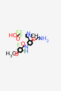 COc1cc(F)c(C(=O)Nc2ccc(OCCN)c(-c3ccnn3C)c2)c(F)c1.O=C(O)C(F)(F)F